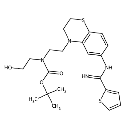 CC(C)(C)OC(=O)N(CCO)CCN1CCSc2ccc(NC(=N)c3cccs3)cc21